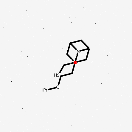 CC(C)OCCN1CC2CC(C1)N2CCS